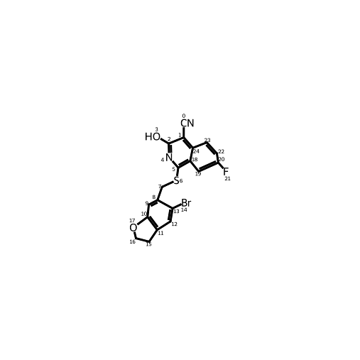 N#Cc1c(O)nc(SCc2cc3c(cc2Br)CCO3)c2cc(F)ccc12